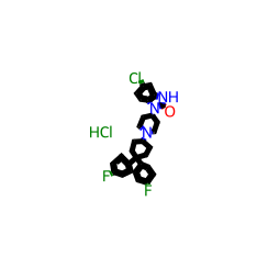 Cl.O=c1[nH]c2cc(Cl)ccc2n1C1CCN(C2CCC(c3ccc(F)cc3)(c3ccc(F)cc3)CC2)CC1